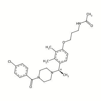 CC(=O)NCCCOc1ccc([C@@H](C)N2CCN(C(=O)c3ccc(Cl)cc3)CC2)c(C)c1C